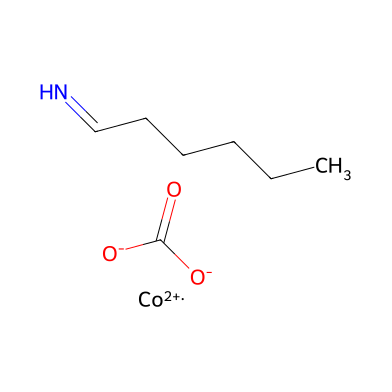 CCCCCC=N.O=C([O-])[O-].[Co+2]